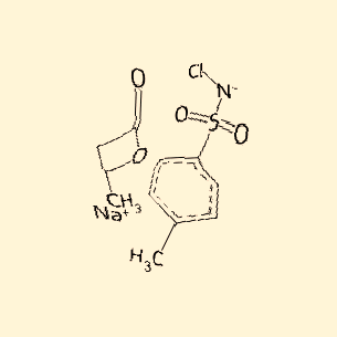 CC1CC(=O)O1.Cc1ccc(S(=O)(=O)[N-]Cl)cc1.[Na+]